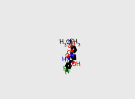 CN(C)S(=O)(=O)c1cccc(C(=O)N2CCC[C@@H]2C(=O)NC(CO)c2ccc(C(F)(F)F)cc2)c1